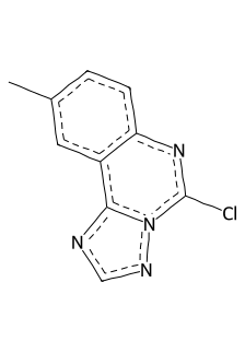 Cc1ccc2nc(Cl)n3ncnc3c2c1